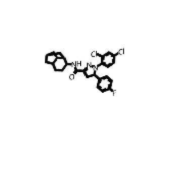 O=C(NC1CCC2CC3CC2C1C3)C1=NN(c2ccc(Cl)cc2Cl)C(c2ccc(F)cc2)C1